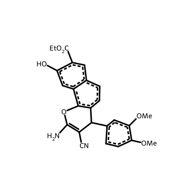 CCOC(=O)c1cc2ccc3c(c2cc1O)OC(N)=C(C#N)C3c1ccc(OC)c(OC)c1